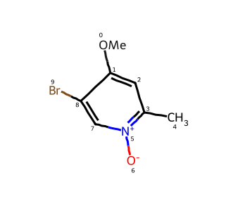 COc1cc(C)[n+]([O-])cc1Br